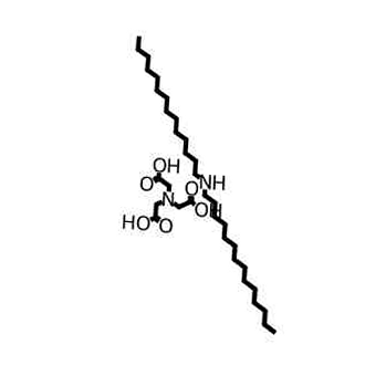 CCCCCCCCCCCCCCNCCCCCCCCCCCCCC.O=C(O)CN(CC(=O)O)CC(=O)O